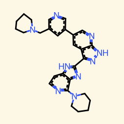 c1cc2[nH]c(-c3n[nH]c4ncc(-c5cncc(CN6CCCCC6)c5)cc34)nc2c(N2CCCCC2)n1